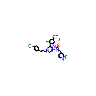 O=C(NCc1ccnc(F)c1)n1c2c(c3c(F)cc(C(F)(F)F)cc31)CN(C/C=C/c1ccc(Cl)cc1)CC2